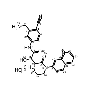 Cl.Cl.N#Cc1ccc(NC(=O)[C@H](O)[C@H]2OCCN(c3ccc4cccnc4c3)C2=O)cc1CN